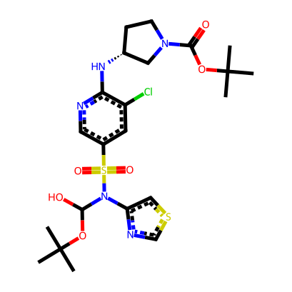 CC(C)(C)OC(=O)N1CC[C@@H](Nc2ncc(S(=O)(=O)N(c3cscn3)C(O)OC(C)(C)C)cc2Cl)C1